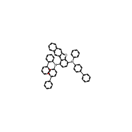 c1ccc(-c2ccc(N(c3ccccc3)c3ccc(N(c4ccc(-c5ccccc5)cc4)c4ccccc4-c4ccccc4)c4c3oc3cc5ccccc5cc34)cc2)cc1